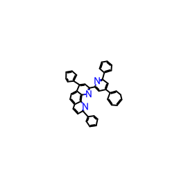 C1=CCC=C(c2cc(-c3ccccc3)nc(-c3cc(-c4ccccc4)c4ccc5ccc(-c6ccccc6)nc5c4n3)c2)C=C1